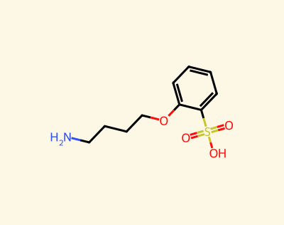 NCCCCOc1ccccc1S(=O)(=O)O